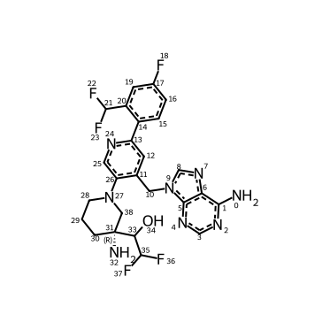 Nc1ncnc2c1ncn2Cc1cc(-c2ccc(F)cc2C(F)F)ncc1N1CCC[C@](N)(C(O)C(F)F)C1